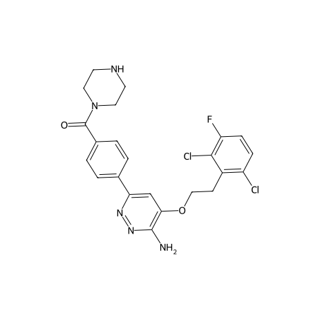 Nc1nnc(-c2ccc(C(=O)N3CCNCC3)cc2)cc1OCCc1c(Cl)ccc(F)c1Cl